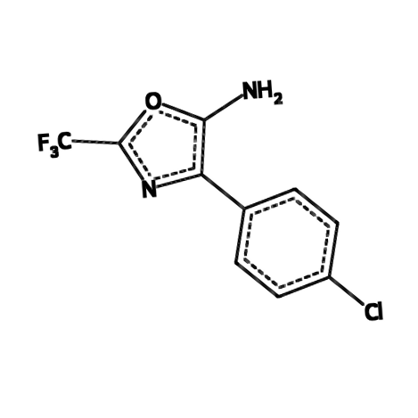 Nc1oc(C(F)(F)F)nc1-c1ccc(Cl)cc1